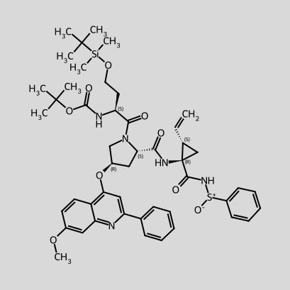 C=C[C@@H]1C[C@]1(NC(=O)[C@@H]1C[C@@H](Oc2cc(-c3ccccc3)nc3cc(OC)ccc23)CN1C(=O)[C@H](CCO[Si](C)(C)C(C)(C)C)NC(=O)OC(C)(C)C)C(=O)N[S+]([O-])c1ccccc1